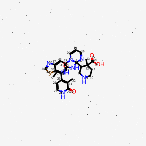 CCNC(=O)NC1(C2CNCCC2(C)C(=O)O)N=CC=CN1c1cc(-c2cc[nH]c(=O)c2C)c2scnc2c1